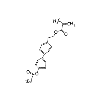 C=C(C)C(=O)OCCc1ccc(-c2ccc(OC(=O)C(C)(C)C)cc2)cc1